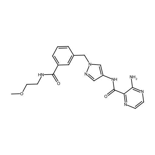 COCCNC(=O)c1cccc(Cn2cc(NC(=O)c3nccnc3N)cn2)c1